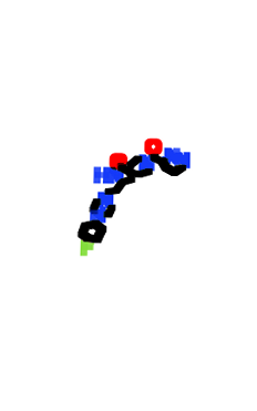 O=C(c1cccnn1)N1CCC2(CC1)CC(CCN1CCN(c3ccc(F)cc3)CC1)NC2=O